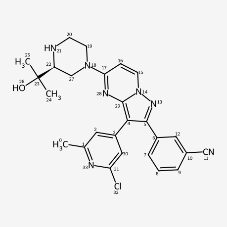 Cc1cc(-c2c(-c3cccc(C#N)c3)nn3ccc(N4CCN[C@H](C(C)(C)O)C4)nc23)cc(Cl)n1